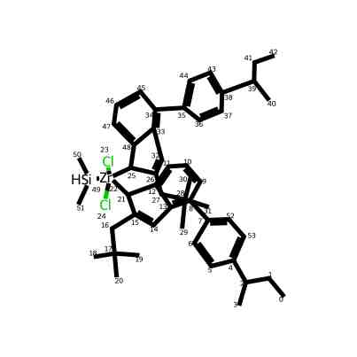 CCC(C)c1ccc(-c2cccc3c2C=C(CC(C)(C)C)[CH]3[Zr]([Cl])([Cl])([CH]2C(CC(C)(C)C)=Cc3c(-c4ccc(C(C)CC)cc4)cccc32)[SiH](C)C)cc1